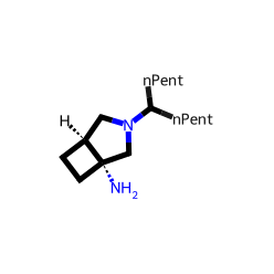 CCCCCC(CCCCC)N1C[C@@H]2CC[C@]2(N)C1